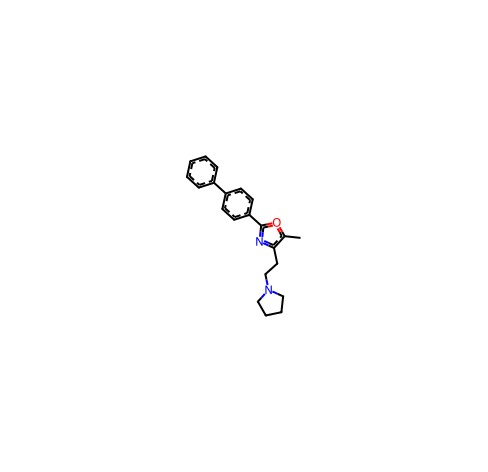 Cc1oc(-c2ccc(-c3ccccc3)cc2)nc1CCN1CCCC1